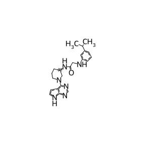 CC(C)c1cccc(NCC(=O)N[C@@H]2CCCN(c3ncnc4[nH]ccc34)C2)c1